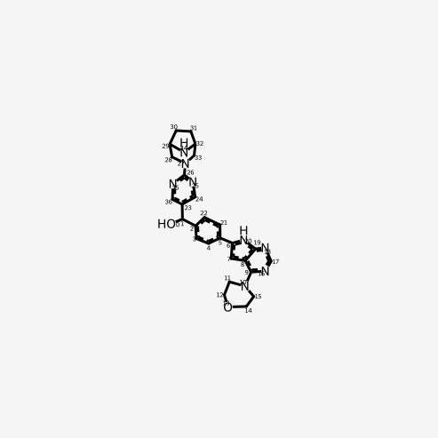 OC(c1ccc(-c2cc3c(N4CCOCC4)ncnc3[nH]2)cc1)c1cnc(N2CC3CCC(C2)N3)nc1